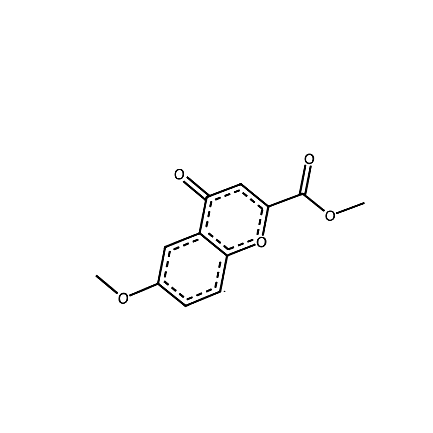 COC(=O)c1cc(=O)c2cc(OC)c[c]c2o1